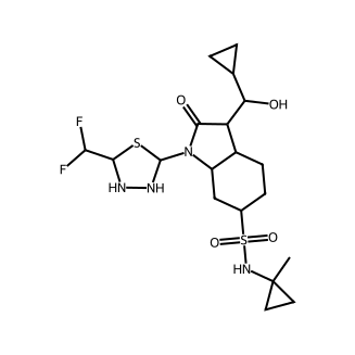 CC1(NS(=O)(=O)C2CCC3C(C(O)C4CC4)C(=O)N(C4NNC(C(F)F)S4)C3C2)CC1